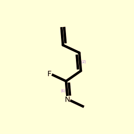 C=C/C=C\C(F)=N/C